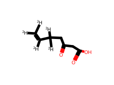 [2H]C([2H])=C([2H])C([2H])([2H])CC(=O)CC(=O)O